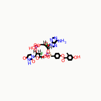 Cc1cc(O)ccc1C(=O)Oc1ccc(CSP2(=O)OC[C@H]3O[C@@H](n4ccc(=O)[nH]c4=O)[C@H](OP(=O)(O)OC[C@H]4O[C@@H](n5cnc6c(N)ncnc65)[C@H](O2)[C@@H]4F)[C@@H]3F)cc1